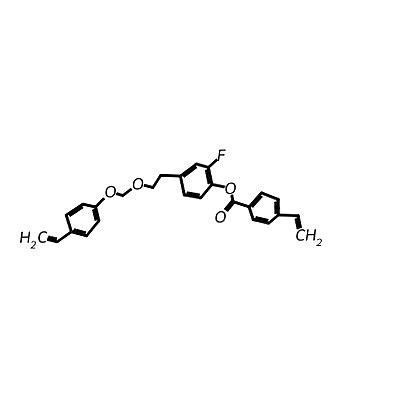 C=Cc1ccc(OCOCCc2ccc(OC(=O)c3ccc(C=C)cc3)c(F)c2)cc1